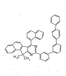 CC1(C)c2nc(-c3cccc(-c4cccc(-c5ccc(-c6ccccc6)cc5)c4)c3)nc(-c3cccc4ccccc34)c2-c2ccc3ccccc3c21